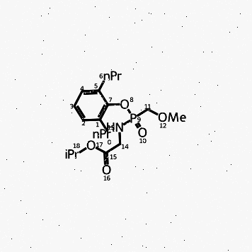 CCCc1cccc(CCC)c1OP(=O)(COC)NCC(=O)OC(C)C